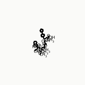 CCC(C)C(NC(=O)C1CCCCN1C)C(=O)N(CCOC)C(CC(=O)c1nc(C(=O)NC(Cc2ccc(-c3ccccc3)cc2)CC(C)C(=O)O)cs1)C(C)C